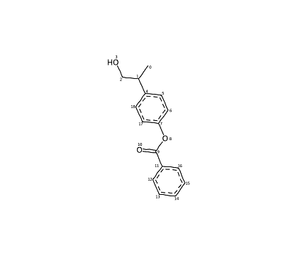 CC(CO)c1ccc(OC(=O)c2ccccc2)cc1